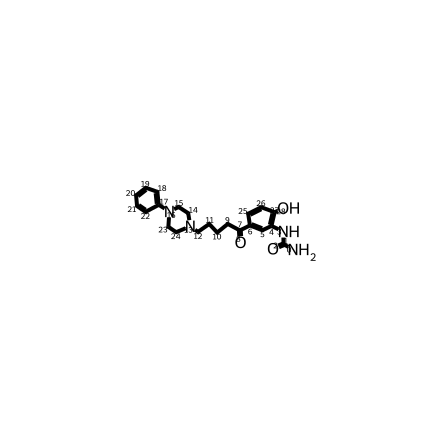 NC(=O)Nc1cc(C(=O)CCCCN2CCN(c3ccccc3)CC2)ccc1O